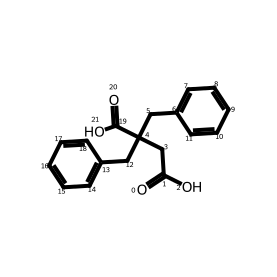 O=C(O)CC(Cc1ccccc1)(Cc1ccccc1)C(=O)O